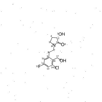 O=C1[C@@H](O)CCN1CCc1cc(F)cc(Cl)c1CO